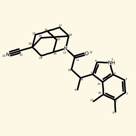 Cc1ccc2[nH]cc(C(C)CC(=O)N3C4CC5CC3CC(C#N)(C5)C4)c2c1C